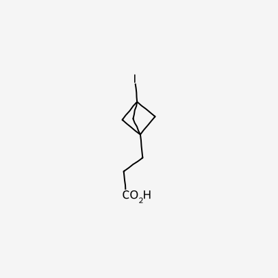 O=C(O)CCC12CC(I)(C1)C2